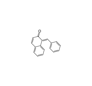 O=C1C=Cc2ccccc2/C1=C\c1ccccc1